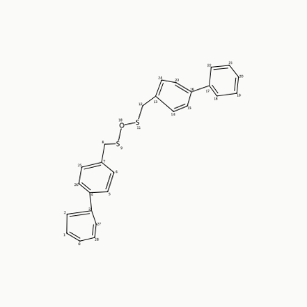 c1ccc(-c2ccc(CSOSCc3ccc(-c4ccccc4)cc3)cc2)cc1